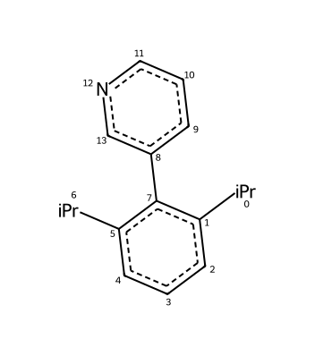 CC(C)c1cccc(C(C)C)c1-c1cccnc1